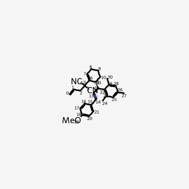 C=CCC(C#N)(C#N)C1=CCCC[C@H]1C(/C=C/c1ccc(OC)cc1)c1c(C)cc(C)cc1C